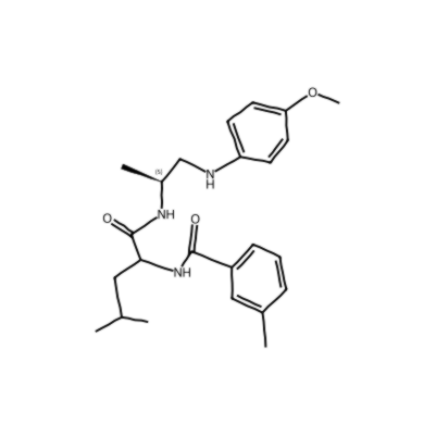 COc1ccc(NC[C@H](C)NC(=O)C(CC(C)C)NC(=O)c2cccc(C)c2)cc1